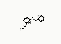 CCc1nccc(NCc2ccccn2)n1